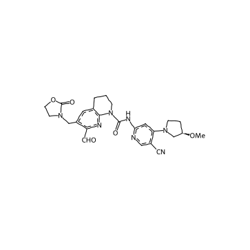 CO[C@@H]1CCN(c2cc(NC(=O)N3CCCc4cc(CN5CCOC5=O)c(C=O)nc43)ncc2C#N)C1